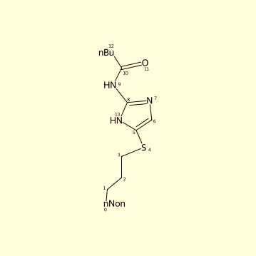 CCCCCCCCCCCCSc1cnc(NC(=O)CCCC)[nH]1